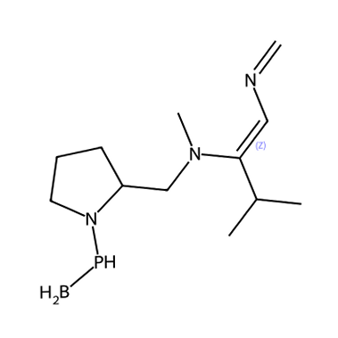 BPN1CCCC1CN(C)/C(=C\N=C)C(C)C